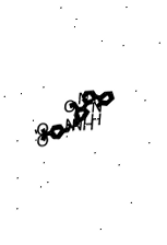 COC(=O)c1ccc(C=NNc2ccc(-c3nccc4c3[nH]c3ccccc34)c(C=O)c2)cc1